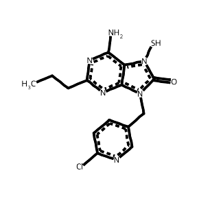 CCCc1nc(N)c2c(n1)n(Cc1ccc(Cl)nc1)c(=O)n2S